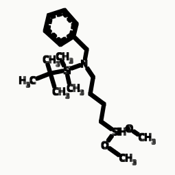 CO[SiH](CCCCN(Cc1ccccc1)[Si](C)(C)C(C)(C)C)OC